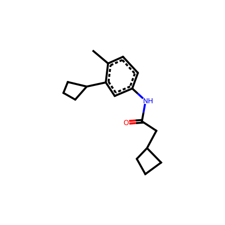 Cc1ccc(NC(=O)CC2CCC2)cc1C1CCC1